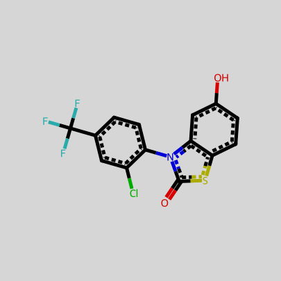 O=c1sc2ccc(O)cc2n1-c1ccc(C(F)(F)F)cc1Cl